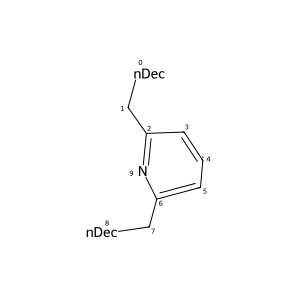 CCCCCCCCCCCc1c[c]cc(CCCCCCCCCCC)n1